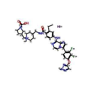 CCc1cc(Nc2nccn3c(-c4ccc(Oc5cnn(C)n5)c(F)c4F)cnc23)ccc1C(=O)NCC1CC[N+](C)(CC2CCN(C(=O)O)C2)CC1.I